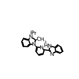 CC(C)N1c2ccccc2N(c2cccc(-c3nc4ccccc4[nH]3)n2)[C@@H]1C